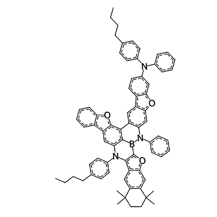 CCCCc1ccc(N(c2ccccc2)c2ccc3c(c2)oc2cc4c(cc23)-c2c3c(cc5c2oc2ccccc25)N(c2ccc(CCCC)cc2)c2c(oc5cc6c(cc25)C(C)(C)CCC6(C)C)B3N4c2ccccc2)cc1